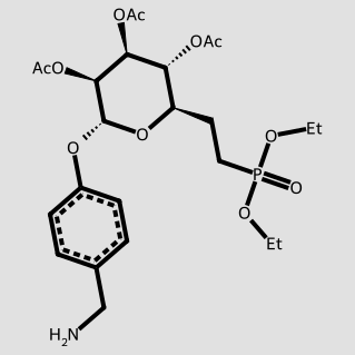 CCOP(=O)(CC[C@H]1O[C@H](Oc2ccc(CN)cc2)[C@@H](OC(C)=O)[C@@H](OC(C)=O)[C@@H]1OC(C)=O)OCC